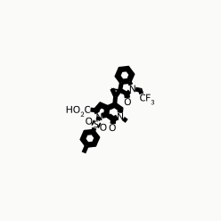 Cc1ccc(S(=O)(=O)n2c(C(=O)O)cc3c(C4C[C@@]45C(=O)N(CC(F)(F)F)c4ccccc45)cn(C)c(=O)c32)cc1